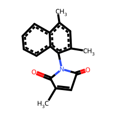 CC1=CC(=O)N(c2c(C)cc(C)c3ccccc23)C1=O